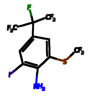 Nc1c(I)cc(C(F)(C(F)(F)F)C(F)(F)F)cc1SC(F)(F)F